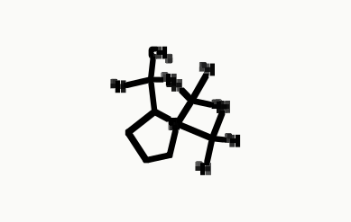 [2H]C([2H])(C)C1CCC[Si]1(C([2H])([2H])[2H])C([2H])([2H])[2H]